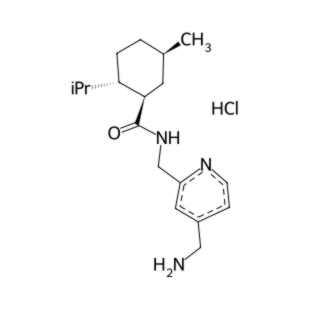 CC(C)[C@@H]1CC[C@@H](C)C[C@H]1C(=O)NCc1cc(CN)ccn1.Cl